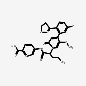 CCCC(C(=O)Nc1ccc(C(N)=O)nc1)n1cc(OC)c(-c2cc(Cl)ccc2C2=NOCC2)cc1=O